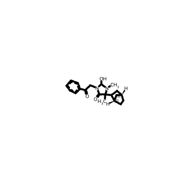 CN1C(O)N(CC(=O)c2ccccc2)C(=O)C1(C)C1C[C@@H]2CC[C@H]1C2